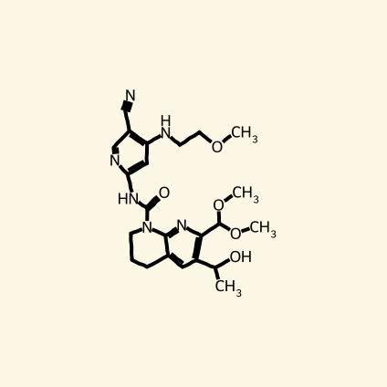 COCCNc1cc(NC(=O)N2CCCc3cc(C(C)O)c(C(OC)OC)nc32)ncc1C#N